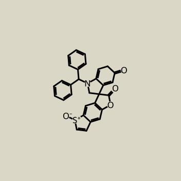 O=C1C=C2C(=CC1)N(C(c1ccccc1)c1ccccc1)CC21C(=O)Oc2cc3cc[s+]([O-])c3cc21